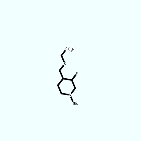 CC(C)(C)N1CCC(CSCC(=O)O)C(F)C1